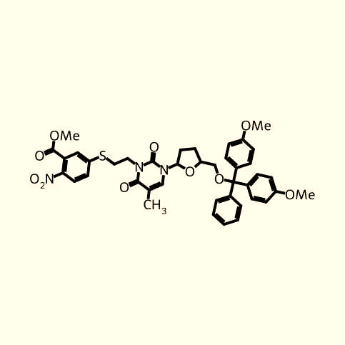 COC(=O)c1cc(SCCn2c(=O)c(C)cn(C3CCC(COC(c4ccccc4)(c4ccc(OC)cc4)c4ccc(OC)cc4)O3)c2=O)ccc1[N+](=O)[O-]